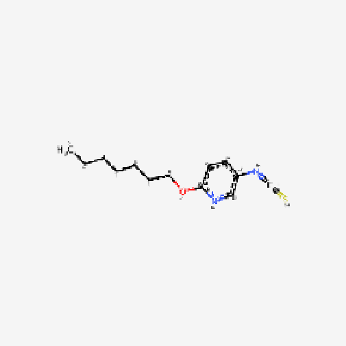 CCCCCCCOc1ccc(N=C=S)cn1